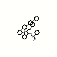 C=N/C(=C/NC1=C(C=Cc2ccccc2)C2(C3=C(C=CCC3)c3ccc(-c4ccc(-c5ccccc5)cc4)cc32)c2ccccc21)c1ccccc1